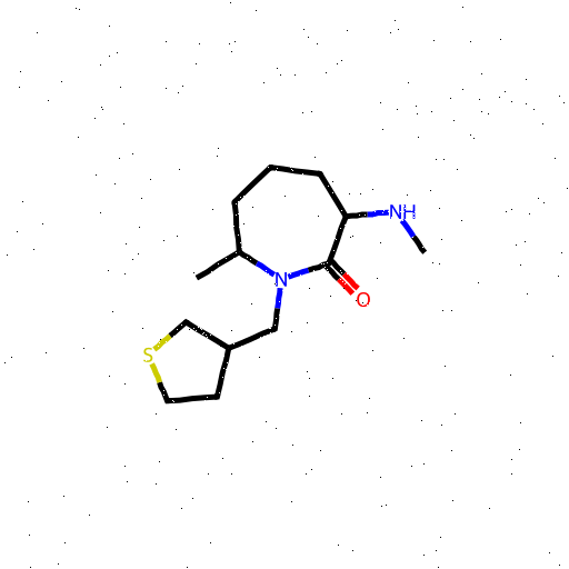 CNC1CCCC(C)N(CC2CCSC2)C1=O